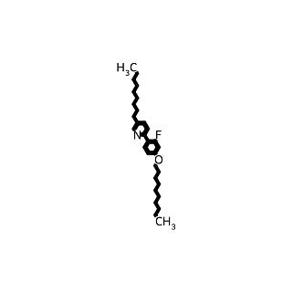 CCCCCCCCCCOc1ccc(-c2ccc(CCCCCCCCC)cn2)c(F)c1